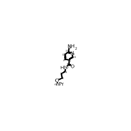 CCCOCCCNC(=O)c1ccc(N)nc1